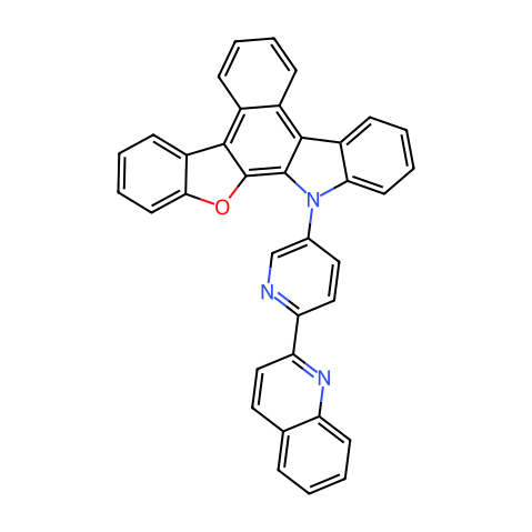 c1ccc2nc(-c3ccc(-n4c5ccccc5c5c6ccccc6c6c7ccccc7oc6c54)cn3)ccc2c1